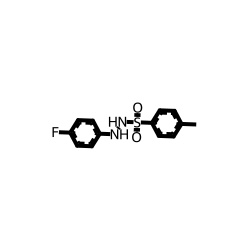 Cc1ccc(S(=O)(=O)NNc2ccc(F)cc2)cc1